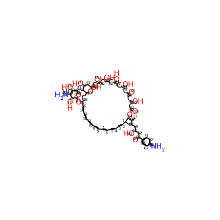 CC1/C=C/C=C/C=C/C=C/C=C/C=C/C=C/C(O[C@H]2O[C@@H](C)[C@H](O)[C@@H](N)[C@H]2O)CC2OC(O)(CC(O)CC(O)CC(O)CC(O)CC(=O)CC(O)CC(=O)OC1C(C)CCC(O)CC(=O)c1ccc(N)cc1)CC(O)C2C(=O)O